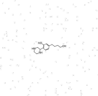 OCCCCc1ccc(C2CNCCN2)c(O)c1